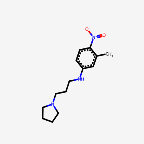 Cc1cc(NCCCN2CCCC2)ccc1[N+](=O)[O-]